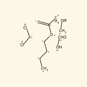 CCCCOC(C)=O.CO.ClCCl.O=CO